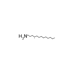 CCCCCCCCC[CH]CCCN